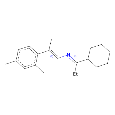 CC/C(=N\C=C(/C)c1ccc(C)cc1C)C1CCCCC1